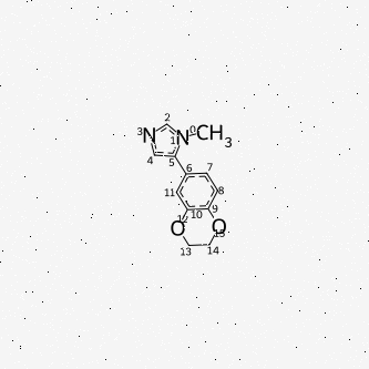 Cn1cncc1-c1ccc2c(c1)OCCO2